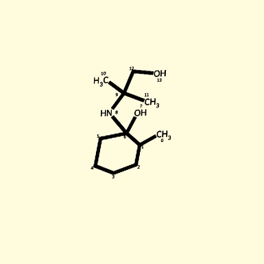 CC1CCCCC1(O)NC(C)(C)CO